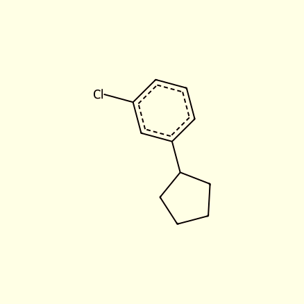 Clc1cccc(C2CCCC2)c1